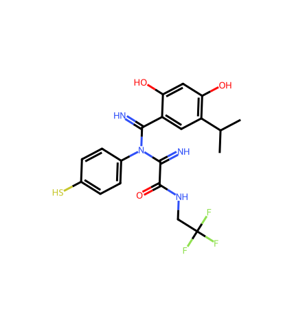 CC(C)c1cc(C(=N)N(C(=N)C(=O)NCC(F)(F)F)c2ccc(S)cc2)c(O)cc1O